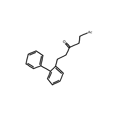 CC(=O)CCC(=O)CCc1ccccc1-c1ccccc1